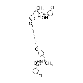 C[C@H](Cc1ccc(OCCCCCCCCCOc2ccc(C[C@@H](C)NC[C@H](O)c3cccc(Cl)c3)cc2)cc1)NC[C@H](O)c1cccc(Cl)c1